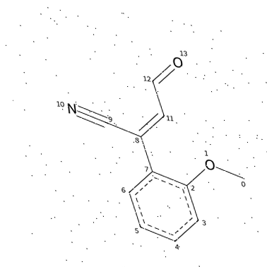 COc1ccccc1C(C#N)=CC=O